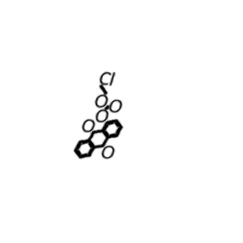 O=C(OCCCl)Oc1cccc2c1C(=O)c1ccccc1C2=O